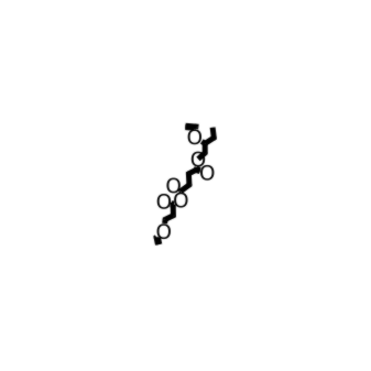 C=COCCC(=O)OC(=O)CCC(=O)OCC(CC)OC=C